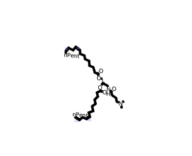 CCCCC/C=C\C/C=C\CCCCCCCC(=O)OC[C@H](CNC(=O)CCCN(C)C)OC(=O)CCCCCCC/C=C\C/C=C\CCCCC